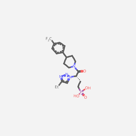 CCc1cn([C@@H](CCP(=O)(O)O)C(=O)N2CCC(c3ccc(C(F)(F)F)cc3)CC2)nn1